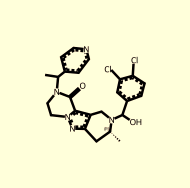 CC(c1ccncc1)N1CCn2nc3c(c2C1=O)CN(C(O)c1ccc(Cl)c(Cl)c1)[C@H](C)C3